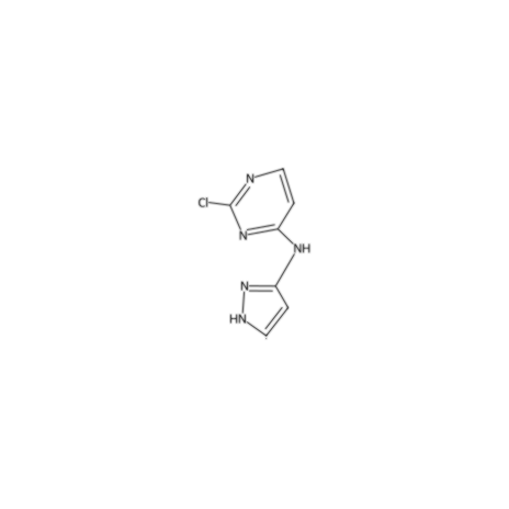 Clc1nccc(Nc2c[c][nH]n2)n1